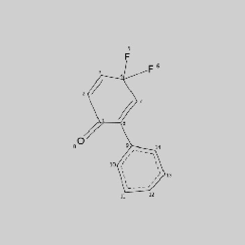 O=C1C=CC(F)(F)C=C1c1ccccc1